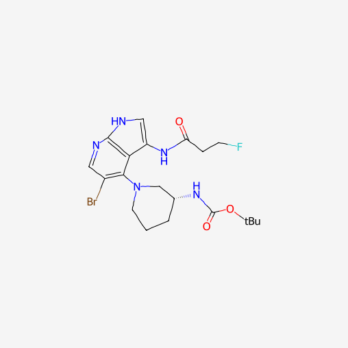 CC(C)(C)OC(=O)N[C@@H]1CCCN(c2c(Br)cnc3[nH]cc(NC(=O)CCF)c23)C1